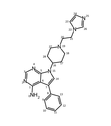 Nc1ncnc2c1c(-c1ccccc1)cn2C1CCN(CCn2ccnc2)CC1